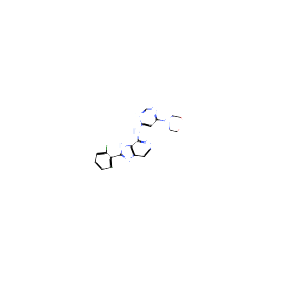 Clc1cccc(Cl)c1-c1nc2ccnc(Nc3cc(N4CCOCC4)ncn3)c2[nH]1